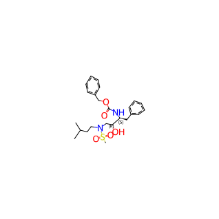 CC(C)CCN(C[C@@H](O)[C@H](Cc1ccccc1)NC(=O)OCc1ccccc1)S(C)(=O)=O